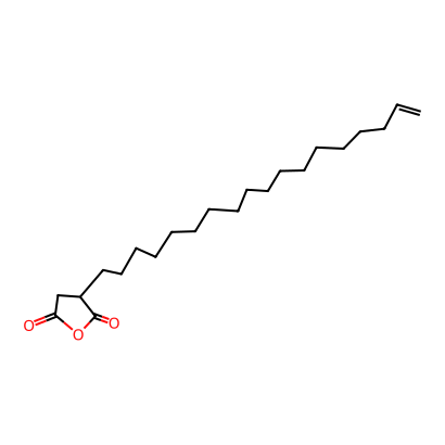 C=CCCCCCCCCCCCCCCCCC1CC(=O)OC1=O